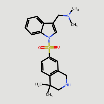 CN(C)Cc1cn(S(=O)(=O)c2ccc3c(c2)CNCC3(C)C)c2ccccc12